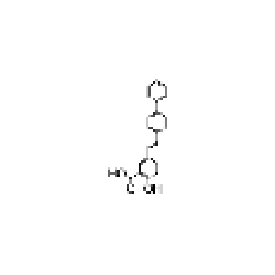 O=C(O)c1cc(/C=C/c2ccc(-c3ccccc3)cc2)ccc1O